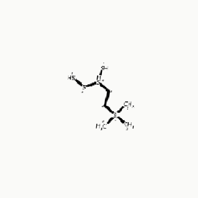 C[Si](C)(C)CC[SH](S)SS